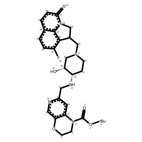 CC(C)(C)OC(=O)N1CCOc2cnc(CN[C@H]3CCN(CC4Cn5c(=O)ccc6ccc(F)c4c65)C[C@H]3O)cc21